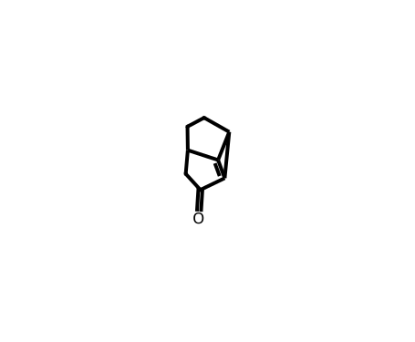 O=C1CC2CCC3C1=C23